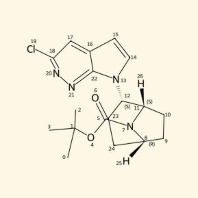 CC(C)(C)OC(=O)N1[C@@H]2CC[C@H]1[C@@H](n1ccc3cc(Cl)nnc31)CC2